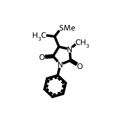 CSC(C)C1C(=O)N(c2ccccc2)C(=O)N1C